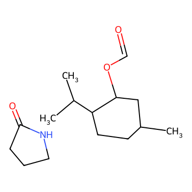 CC1CCC(C(C)C)C(OC=O)C1.O=C1CCCN1